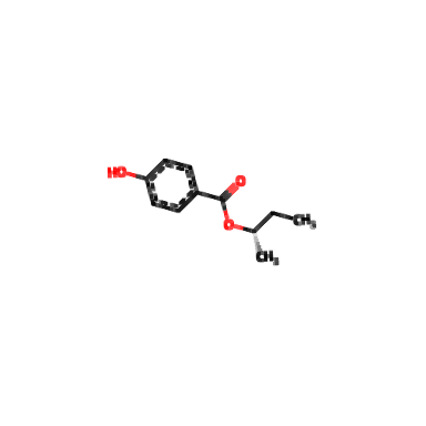 CC[C@H](C)OC(=O)c1ccc(O)cc1